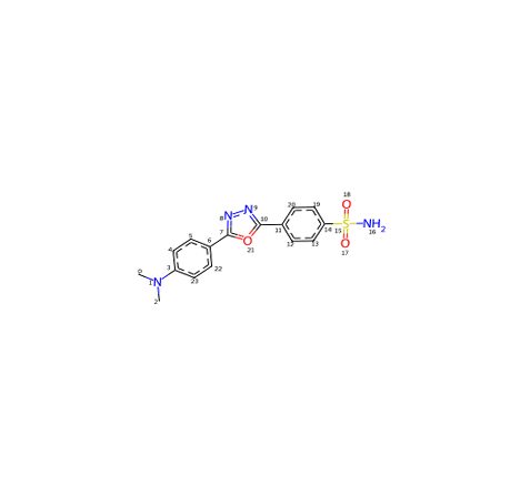 CN(C)c1ccc(-c2nnc(-c3ccc(S(N)(=O)=O)cc3)o2)cc1